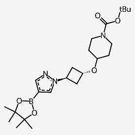 CC(C)(C)OC(=O)N1CCC(O[C@H]2C[C@H](n3cc(B4OC(C)(C)C(C)(C)O4)cn3)C2)CC1